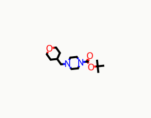 CC(C)(C)OC(=O)N1CCN(CC2CCOCC2)CC1